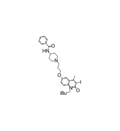 CCC(C)Cn1c(=O)c(I)c(C)c2cc(OCCCN3CCC(NC(=O)c4ccccc4)CC3)ccc21